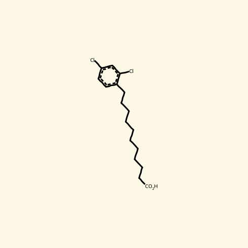 O=C(O)CCCCCCCCCCc1ccc(Cl)cc1Cl